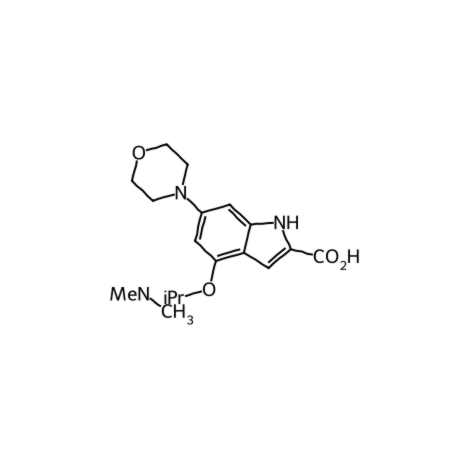 CC(C)Oc1cc(N2CCOCC2)cc2[nH]c(C(=O)O)cc12.CNC